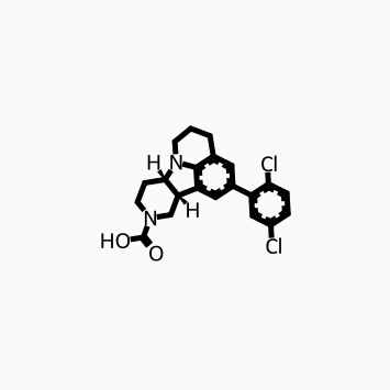 O=C(O)N1CC[C@H]2[C@@H](C1)c1cc(-c3cc(Cl)ccc3Cl)cc3c1N2CCC3